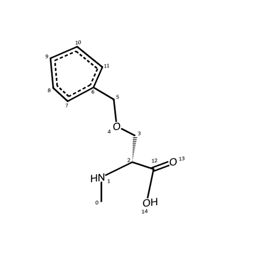 CN[C@H](COCc1ccccc1)C(=O)O